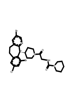 O=C(CNC(=O)N1CCCCC1)N1CCC([C@H]2c3ncc(Br)cc3CCc3cc(Cl)cc(Br)c32)CC1